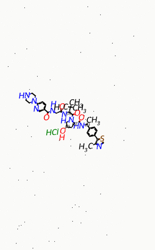 Cc1ncsc1-c1ccc([C@H](C)NC(=O)[C@@H]2C[C@@H](O)CN2C(=O)[C@@H](NC(=O)CNC(=O)c2ccc(N3CCNCC3)nc2)C(C)(C)C)cc1.Cl